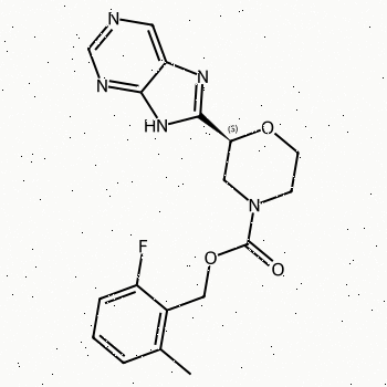 Cc1cccc(F)c1COC(=O)N1CCO[C@H](c2nc3cncnc3[nH]2)C1